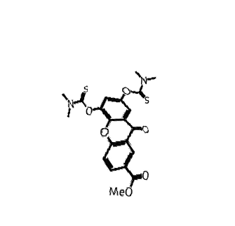 COC(=O)c1ccc2oc3c(OC(=S)N(C)C)cc(OC(=S)N(C)C)cc3c(=O)c2c1